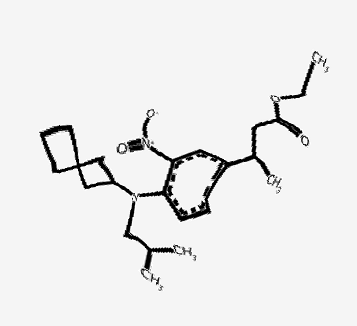 CCOC(=O)CC(C)c1ccc(N(CC(C)C)C2CC3(CCC3)C2)c([N+](=O)[O-])c1